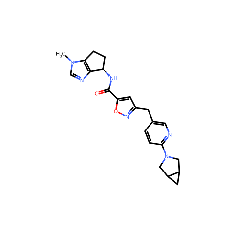 Cn1cnc2c1CC[C@H]2NC(=O)c1cc(Cc2ccc(N3CC4CC4C3)nc2)no1